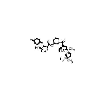 CC1(C)CCN(C(C)(C)C=C(C#N)C(=O)N2CCCC(OC(=O)N[C@@H](Cc3ccc(F)cc3)B(O)O)C2)C1